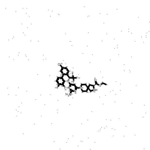 CCOC(=O)[C@@H]1CC2(CCN(c3cc(O[C@H](c4ccc(Cl)cc4-c4ccc(F)c(F)c4)C(F)(F)F)nc(N)n3)CC2)CN1